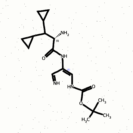 CC(C)(C)OC(=O)N/C=C(\C=N)NC(=O)[C@@H](N)C(C1CC1)C1CC1